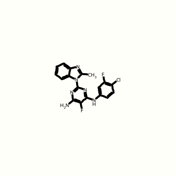 Cc1nc2ccccc2n1-c1nc(N)c(F)c(Nc2ccc(Cl)c(F)c2)n1